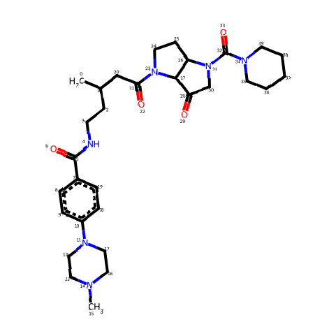 CC(CCNC(=O)c1ccc(N2CCN(C)CC2)cc1)CC(=O)N1CCC2C1C(=O)CN2C(=O)N1CCCCC1